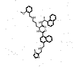 COc1ccccc1CNCCC[C@H](NC(=O)c1ccc(CNCc2nccn2C)c2ccccc12)C(=O)N[C@@H](C)c1cccc2ccccc12